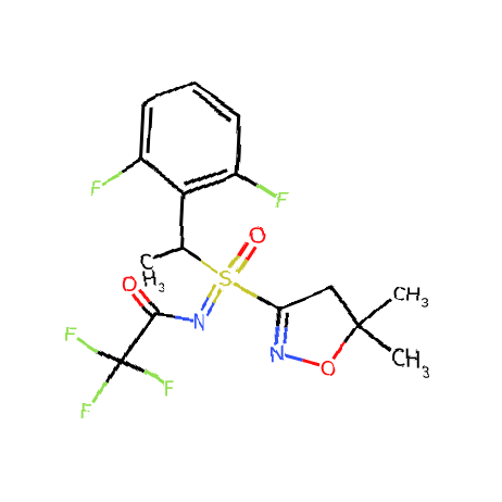 CC(c1c(F)cccc1F)S(=O)(=NC(=O)C(F)(F)F)C1=NOC(C)(C)C1